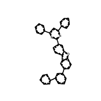 c1ccc(-c2cccc(-c3ccc4oc5cc(-c6nc(-c7ccccc7)cc(-c7ccccc7)n6)ccc5c4c3)c2)cc1